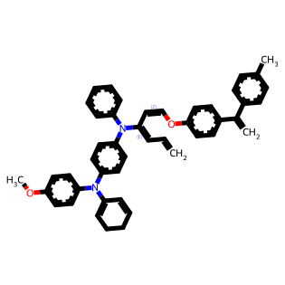 C=C/C=C(\C=C/Oc1ccc(C(=C)c2ccc(C)cc2)cc1)N(c1ccccc1)c1ccc(N(C2=CCCC=C2)c2ccc(OC)cc2)cc1